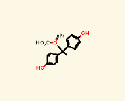 CC(C)(c1ccc(O)cc1)c1ccc(O)cc1.CCCOC(=O)O